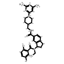 CCN(C(=O)c1cc(F)ccc1Cl)C1CCc2ccc(C(=O)NCC3CCN(c4cc(C)nc(C)n4)CC3)cc21